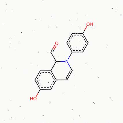 O=CC1c2ccc(O)cc2C=CN1c1ccc(O)cc1